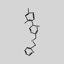 Cc1ccc(C2C=NC(COCc3ccccn3)=CN2)c(C)c1